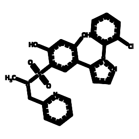 CN(Cc1ccccn1)S(=O)(=O)c1cc(-c2ccnn2-c2ccccc2Cl)c(O)cc1O